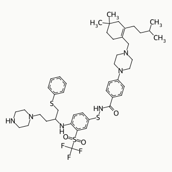 CC(C)CCC1=C(CN2CCN(c3ccc(C(=O)NSc4ccc(NC(CCN5CCNCC5)CSc5ccccc5)c(S(=O)(=O)C(F)(F)F)c4)cc3)CC2)CCC(C)(C)C1